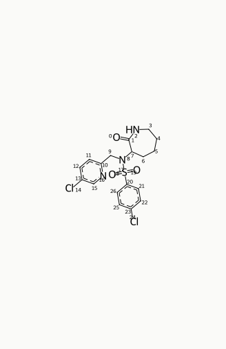 O=C1NCCCCC1N(Cc1ccc(Cl)cn1)S(=O)(=O)c1ccc(Cl)cc1